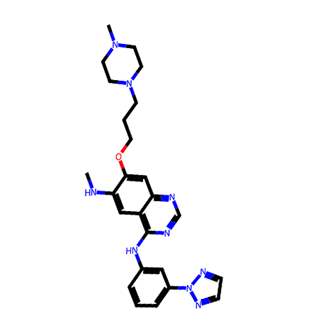 CNc1cc2c(Nc3cccc(-n4nccn4)c3)ncnc2cc1OCCCN1CCN(C)CC1